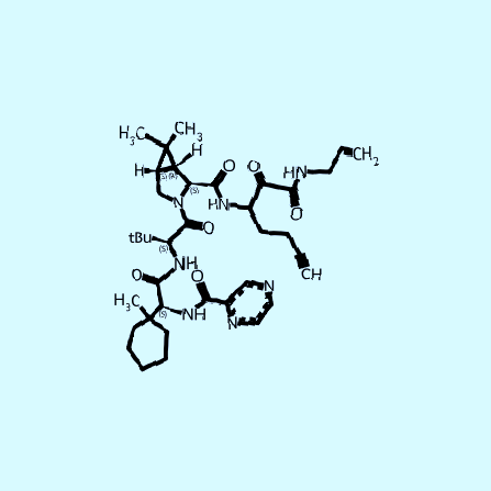 C#CCCC(NC(=O)[C@@H]1[C@@H]2[C@H](CN1C(=O)[C@@H](NC(=O)[C@@H](NC(=O)c1cnccn1)C1(C)CCCCC1)C(C)(C)C)C2(C)C)C(=O)C(=O)NCC=C